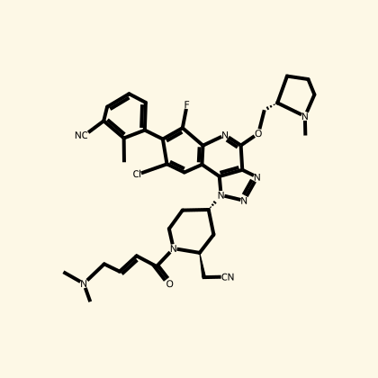 Cc1c(C#N)cccc1-c1c(Cl)cc2c(nc(OC[C@@H]3CCCN3C)c3nnn([C@H]4CCN(C(=O)/C=C/CN(C)C)[C@H](CC#N)C4)c32)c1F